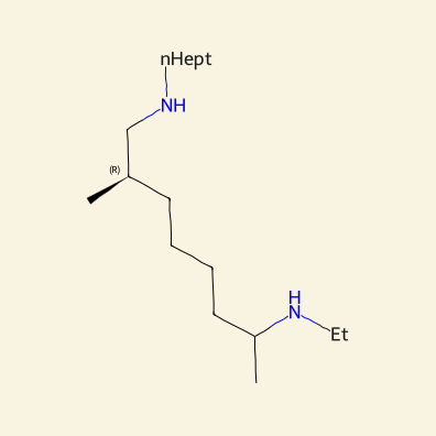 CCCCCCCNC[C@H](C)CCCCC(C)NCC